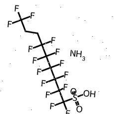 N.O=S(=O)(O)C(F)(F)C(F)(F)C(F)(F)C(F)(F)C(F)(F)C(F)(F)CCC(F)(F)F